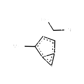 COc1ccc2cc1-2.N#CCO